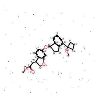 COC(=O)C[C@@H]1COc2cc(O[C@@H]3CCc4c3cccc4C3(OC)CCC3)ccc21